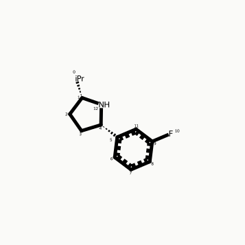 CC(C)[C@H]1CC[C@@H](c2cccc(F)c2)N1